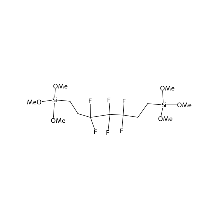 CO[Si](CCC(F)(F)C(F)(F)C(F)(F)CC[Si](OC)(OC)OC)(OC)OC